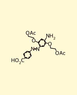 CC(=O)OCCOc1cc(/N=N/c2ccc(C(=O)O)cc2)c(OCCOC(C)=O)cc1N